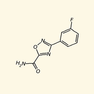 NC(=O)c1nc(-c2cccc(F)c2)no1